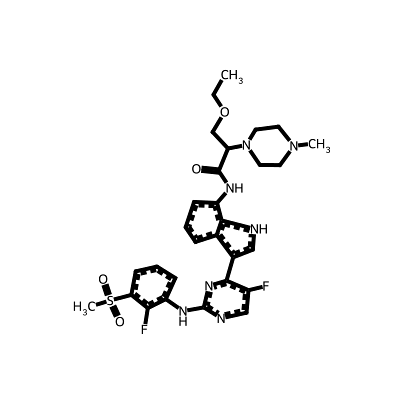 CCOCC(C(=O)Nc1cccc2c(-c3nc(Nc4cccc(S(C)(=O)=O)c4F)ncc3F)c[nH]c12)N1CCN(C)CC1